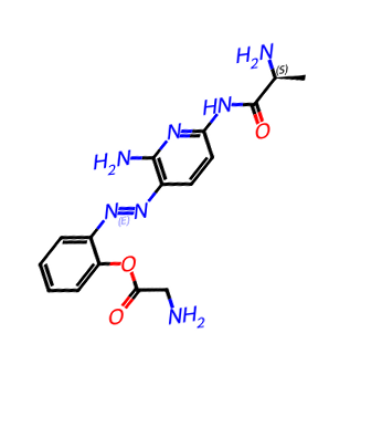 C[C@H](N)C(=O)Nc1ccc(/N=N/c2ccccc2OC(=O)CN)c(N)n1